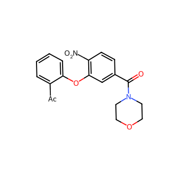 CC(=O)c1ccccc1Oc1cc(C(=O)N2CCOCC2)ccc1[N+](=O)[O-]